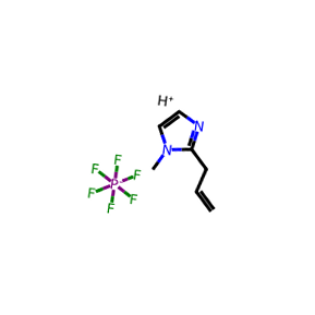 C=CCc1nccn1C.F[P-](F)(F)(F)(F)F.[H+]